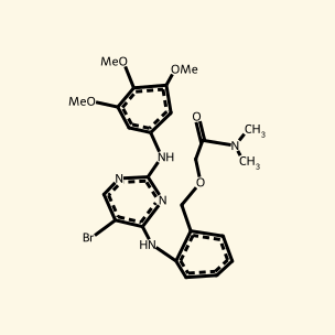 COc1cc(Nc2ncc(Br)c(Nc3ccccc3COCC(=O)N(C)C)n2)cc(OC)c1OC